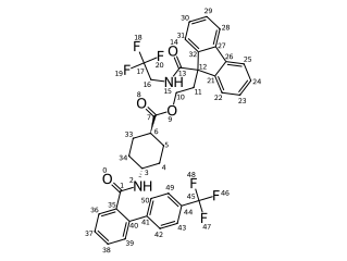 O=C(N[C@H]1CC[C@H](C(=O)OCCC2(C(=O)NCC(F)(F)F)c3ccccc3-c3ccccc32)CC1)c1ccccc1-c1ccc(C(F)(F)F)cc1